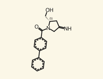 N=C1C[C@@H](CO)N(C(=O)c2ccc(-c3ccccc3)cc2)C1